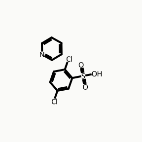 O=S(=O)(O)c1cc(Cl)ccc1Cl.c1ccncc1